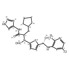 Cc1ncc(Cl)cc1N[C@@H](C)c1ccc(N(C=O)C(CC2CCCC2)C(=O)Nc2c[nH]nn2)s1